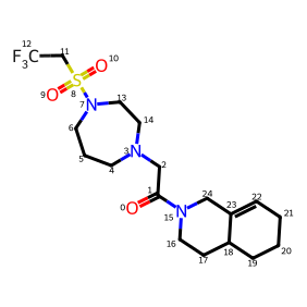 O=C(CN1CCCN(S(=O)(=O)CC(F)(F)F)CC1)N1CCC2CCCC=C2C1